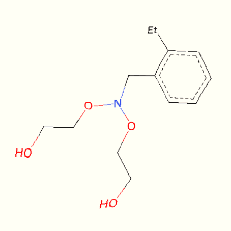 CCc1ccccc1CN(OCCO)OCCO